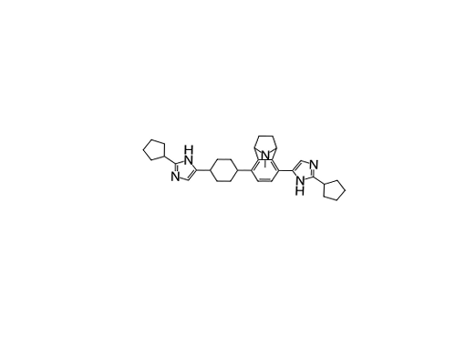 CN1C2CCC1c1c(C3CCC(c4cnc(C5CCCC5)[nH]4)CC3)ccc(-c3cnc(C4CCCC4)[nH]3)c12